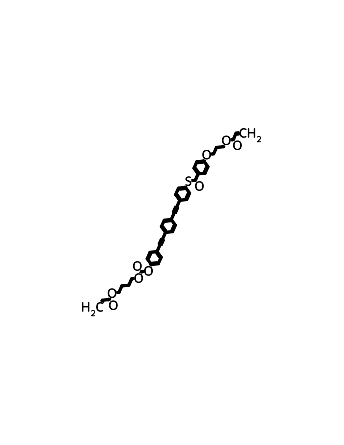 C=CC(=O)OCCCCOC(=O)Oc1ccc(C#Cc2ccc(C#Cc3ccc(SC(=O)c4ccc(OCCCOC(=O)C=C)cc4)cc3)cc2)cc1